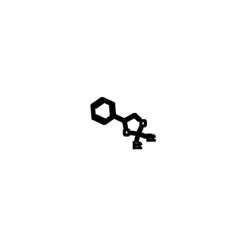 CCC1(CC)OCC(c2ccccc2)O1